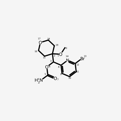 COC1(C(OC(N)=O)c2cccc(Br)n2)CCOCC1